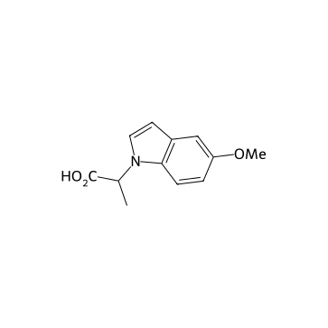 COc1ccc2c(ccn2C(C)C(=O)O)c1